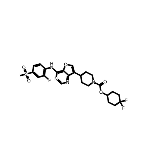 CS(=O)(=O)c1ccc(Nc2ncnc3c(C4CCN(C(=O)OC5CCC(F)(F)CC5)CC4)coc23)c(F)c1